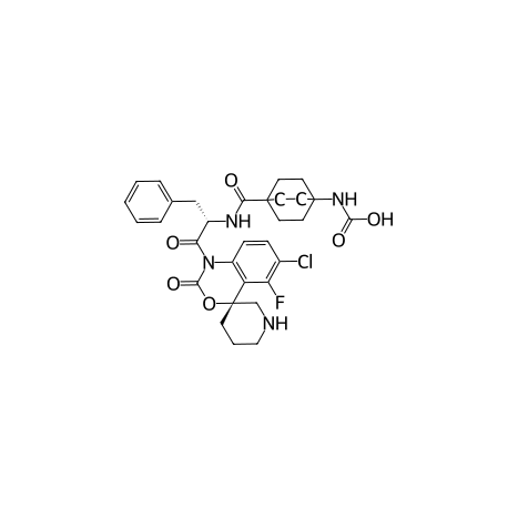 O=C(O)NC12CCC(C(=O)N[C@@H](Cc3ccccc3)C(=O)N3C(=O)O[C@]4(CCCNC4)c4c3ccc(Cl)c4F)(CC1)CC2